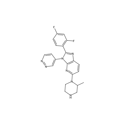 CC1CNCCN1c1ccc2nc(-c3ccc(F)cc3F)n(-c3ccnnc3)c2n1